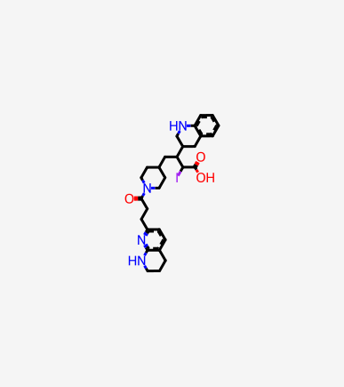 O=C(O)C(I)C(CC1CCN(C(=O)CCc2ccc3c(n2)NCCC3)CC1)C1CNc2ccccc2C1